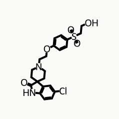 O=C1Nc2ccc(Cl)cc2C12CCN(CCOc1ccc(S(=O)(=O)CCO)cc1)CC2